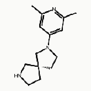 Cc1cc(N2CC[C@@]3(CCNC3)C2)cc(C)n1